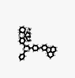 c1ccc(-c2nc(-c3ccc(-c4ccc5c(c4)-c4cccc6cccc-5c46)cc3)cc(-c3ccc4c(c3)C3(c5ccccc5S4)c4ccccc4-c4ccccc43)n2)cc1